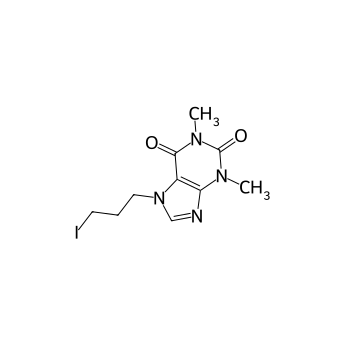 Cn1c(=O)c2c(ncn2CCCI)n(C)c1=O